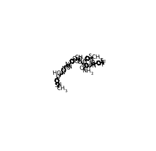 Cc1nc2cc(OC[C@@H](O)CN3CCN(Cc4nc(-c5ccc(OC(C)(C)C(=O)O[C@H](COc6ccc7sc(C)nc7c6)CN6CCN(Cc7noc(-c8ccc(C(F)(F)F)cc8)n7)CC6C(N)=O)cc5)no4)CC3)ccc2s1